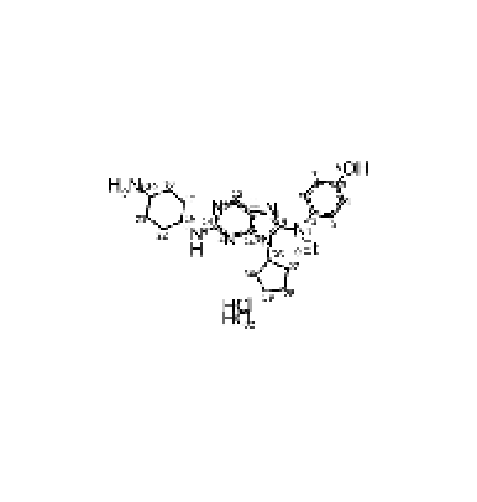 CCN(c1ccc(O)cc1)c1nc2cnc(N[C@H]3CC[C@H](N)CC3)nc2n1C1CCCC1.Cl.Cl